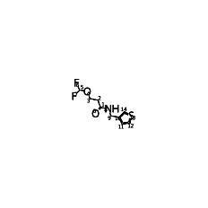 O=C(CCOC(F)F)NCc1ccsc1